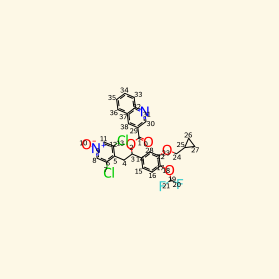 O=C(OC(Cc1c(Cl)c[n+]([O-])cc1Cl)c1ccc(OC(F)F)c(OCC2CC2)c1)c1cnc2ccccc2c1